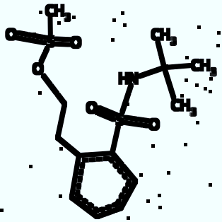 CC(C)(C)NS(=O)(=O)c1ccccc1CCOS(C)(=O)=O